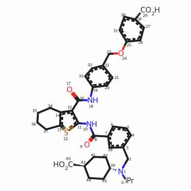 CC(C)N(Cc1cccc(C(=O)Nc2sc3c(c2C(=O)Nc2ccc(COc4ccc(C(=O)O)cc4)cc2)CCCC3)c1)[C@H]1CC[C@H](C(=O)O)CC1